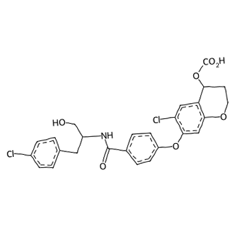 O=C(O)OC1CCOc2cc(Oc3ccc(C(=O)NC(CO)Cc4ccc(Cl)cc4)cc3)c(Cl)cc21